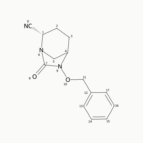 N#C[C@@H]1CCC2CN1C(=O)N2OCc1ccccc1